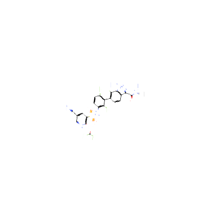 CNC(=O)c1n[nH]c2c(F)c(-c3c(F)ccc(NS(=O)(=O)c4cc(C#N)cnc4OC(F)F)c3F)ccc12